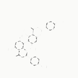 O=C1C[C@H](c2ccc(O)cc2)Oc2cc(O)c(-c3c(O)cc(O)c4c(=O)cc(-c5ccc(O)cc5)oc34)c(O)c21